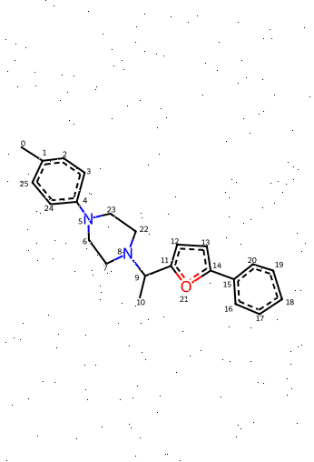 Cc1ccc(N2CCN(C(C)c3ccc(-c4ccccc4)o3)CC2)cc1